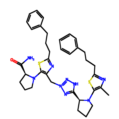 Cc1nc(CCCc2ccccc2)sc1N1CCC[C@H]1c1n[n+](Cc2nc(CCCc3ccccc3)sc2N2CCC[C@H]2C(N)=O)n[nH]1